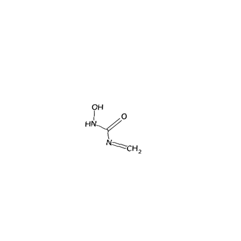 C=NC(=O)NO